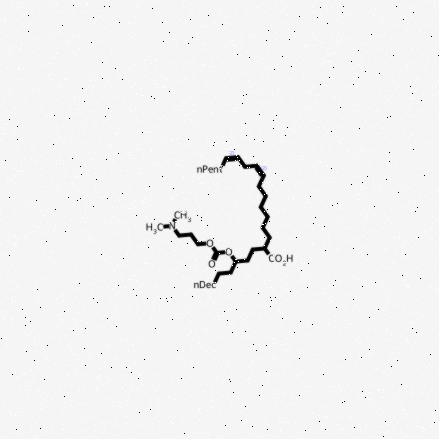 CCCCC/C=C\C/C=C\CCCCCCC(CCC(CCCCCCCCCCCC)OC(=O)OCCCN(C)C)C(=O)O